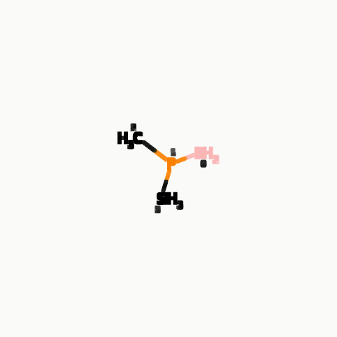 BP(C)[SiH3]